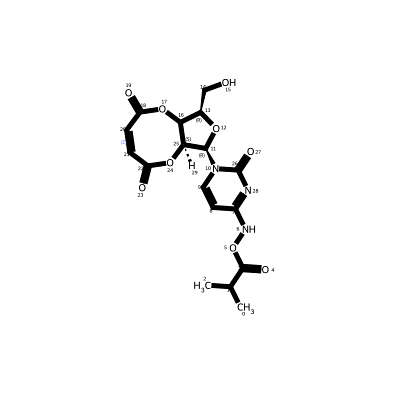 CC(C)C(=O)ONc1ccn([C@@H]2O[C@H](CO)C3OC(=O)/C=C\C(=O)O[C@@H]32)c(=O)n1